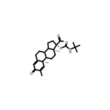 CC(=O)[C@]1(OC(=O)NC(C)(C)C)CCC2C3CCC4=CC(=O)C(C)=C[C@]4(C)C3CC[C@@]21C